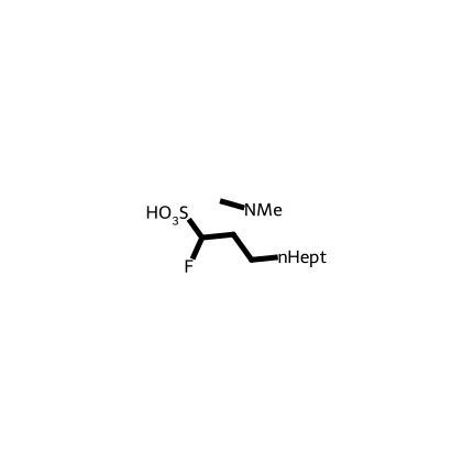 CCCCCCCCCC(F)S(=O)(=O)O.CNC